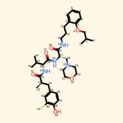 CC(C)COc1ccccc1CCCNC(=O)[C@H](CN1CCOCC1)NC(=O)[C@H](NC(=O)[C@H](C)Cc1ccc(O)c(F)c1)C(C)C